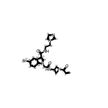 C=CC(=O)N1CC(NC(=O)Cn2cc(C(=O)NCCn3ccnc3)c3cc(Br)ccc32)C1